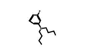 CCCCN(CCCC)c1cc[c]c(F)c1